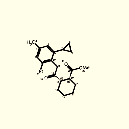 CCc1cc(C)cc(C2CC2)c1CC(=O)[C@H]1CCCC[C@@H]1C(=O)OC